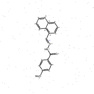 COc1ccc(C(=O)N/N=C/c2cccc3ncccc23)cc1